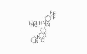 Cl.Cl.O=C1OC2(CCC(c3nc4cc(C(F)(F)F)ccc4[nH]3)CC2)CN1c1ccccn1